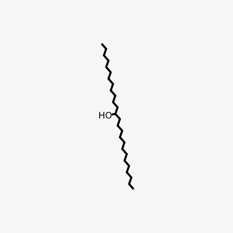 CCCCCCCCCCCCCC(O)CCCCCCCCCCCC